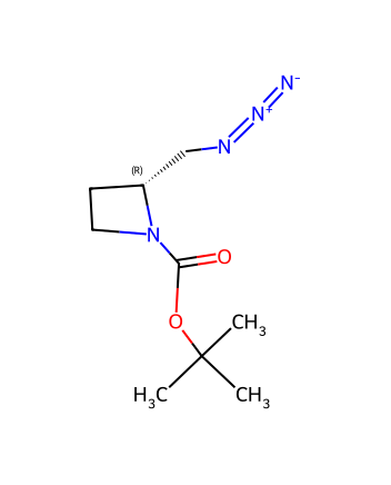 CC(C)(C)OC(=O)N1CC[C@@H]1CN=[N+]=[N-]